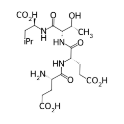 CC(C)C[C@H](NC(=O)[C@@H](NC(=O)[C@H](CCC(=O)O)NC(=O)[C@@H](N)CCC(=O)O)[C@@H](C)O)C(=O)O